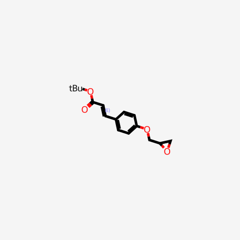 CC(C)(C)OC(=O)/C=C/c1ccc(OCC2CO2)cc1